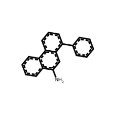 Nc1cc2c(-c3ccccc3)cccc2c2ccccc12